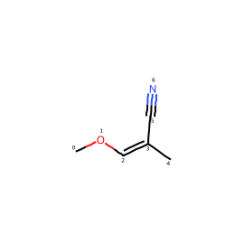 COC=C(C)C#N